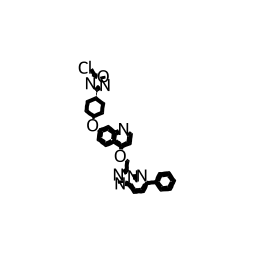 Clc1nc([C@H]2CC[C@H](Oc3ccc4c(OCc5nnc6ccc(-c7ccccc7)nn56)ccnc4c3)CC2)no1